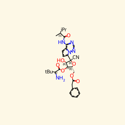 CC(C)[C@H](C)C(=O)Nc1ncnn2c([C@]3(C#N)O[C@H](COC(=O)Cc4ccccc4)[C@@H](OC(=O)[C@@H](N)C(C)(C)C)[C@H]3O)ccc12